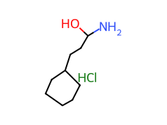 Cl.NC(O)CCC1CCCCC1